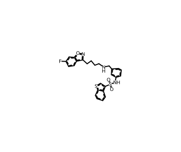 O=S(=O)(Nc1cccc(CNCCCCc2noc3cc(F)ccc23)c1)c1csc2ccccc12